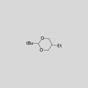 CCC1COC(C(C)(C)C)OC1